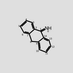 N=C1c2ccccc2Cc2ccccc21